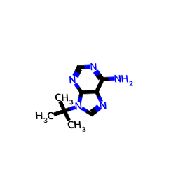 CC(C)(C)N1C=NC2C(N)=NC=NC21